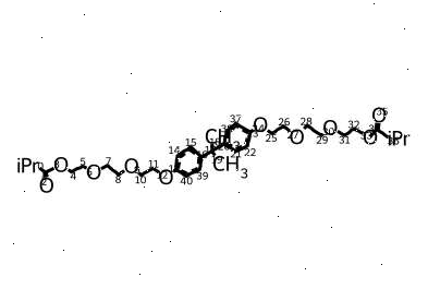 CC(C)C(=O)OCCOCCOCCOc1ccc(C(C)(C)c2ccc(OCCOCCOCCOC(=O)C(C)C)cc2)cc1